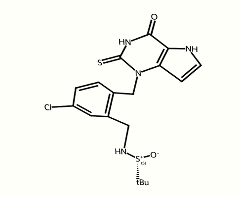 CC(C)(C)[S@@+]([O-])NCc1cc(Cl)ccc1Cn1c(=S)[nH]c(=O)c2[nH]ccc21